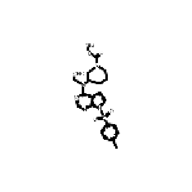 Cc1ccc(S(=O)(=O)n2ccc3c(N(CC=O)C4CCCN(C(=O)OC(C)(C)C)C4)ncnc32)cc1